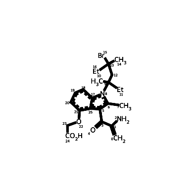 C=C(N)C(=O)c1c(C)n(C(C)(CC)CC(C)(Br)CC)c2cccc(OCC(=O)O)c12